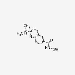 C[SH](C)c1ccc2cc(C(=O)NC(C)(C)C)ccc2n1